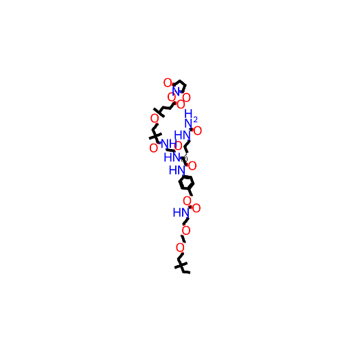 CCC(C)(C)CCOCCOCCNC(=O)OCc1ccc(NC(=O)[C@@H](CCCNC(N)=O)NC(=O)CNC(=O)C(C)(C)CCOC(C)(C)CCC(=O)ON2C(=O)CCC2=O)cc1